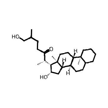 CC(CO)CCC(=O)[C@@H](C)[C@H]1[C@@H](O)C[C@H]2[C@@H]3CCC4CCCC[C@]4(C)[C@H]3CC[C@]12C